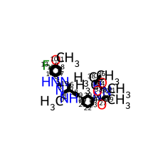 CNc1nc(Nc2ccc(OC)c(F)c2)ncc1C#C[C@@H]1CCC[C@H](NC(=O)[C@H](C)N(C)C(=O)OC(C)(C)C)C1